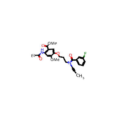 CC#CN(CCCOc1cc(C(=O)OC)c(NC(=O)CC)cc1OC)C(=O)c1cccc(F)c1